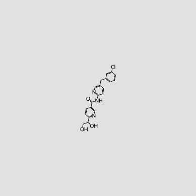 O=C(Nc1ccc(Cc2cccc(Cl)c2)cn1)c1ccc([C@@H](O)CO)nc1